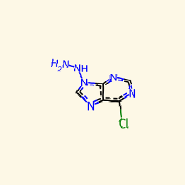 NNn1cnc2c(Cl)ncnc21